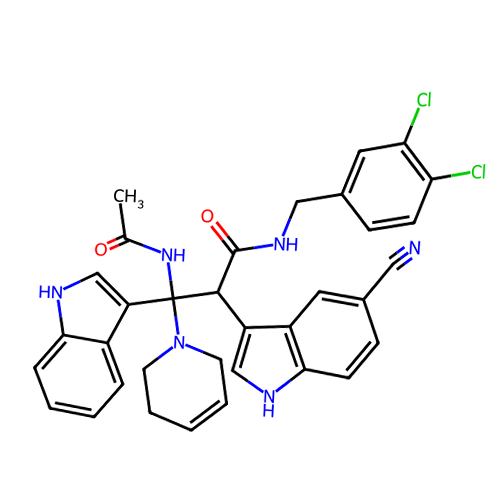 CC(=O)NC(c1c[nH]c2ccccc12)(C(C(=O)NCc1ccc(Cl)c(Cl)c1)c1c[nH]c2ccc(C#N)cc12)N1CC=CCC1